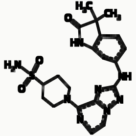 CC1(C)C(=O)Nc2cc(Nc3nc4c(N5CCC(S(N)(=O)=O)CC5)nccn4n3)ccc21